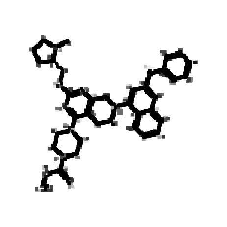 CN1CCC[C@H]1COc1nc2c(c(N3CCN(C(=O)OC(C)(C)C)CC3)n1)CCN(c1cc(Oc3ccccc3)cc3ccccc13)C2